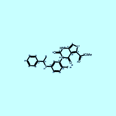 COC(=O)c1scc2[nH]c(=O)n(-c3cc(SC(C)c4ccccc4)ccc3F)c(=O)c12